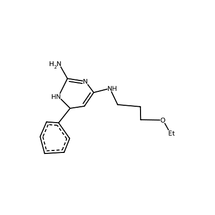 CCOCCCNC1=CC(c2ccccc2)NC(N)=N1